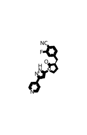 N#Cc1ccc(C[C@H]2CCN(c3cc(-c4ccncc4)n[nH]3)C2=O)cc1F